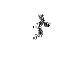 O=C(CO)NCCn1cnc2c(ncn2[C@H]2C[C@H](O)[C@@H](COP(=O)(S)O[C@H]3C[C@H](n4cc5c6c(ncnc64)NCCC5)O[C@@H]3COP(=O)(O)S)O2)c1=O